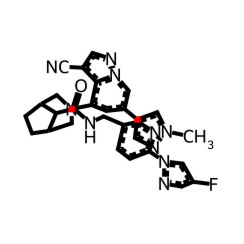 Cn1cc(-c2cc(N3CC4CCC(C3)C4C(=O)NCc3ccc(-n4cc(F)cn4)nc3)c3c(C#N)cnn3c2)cn1